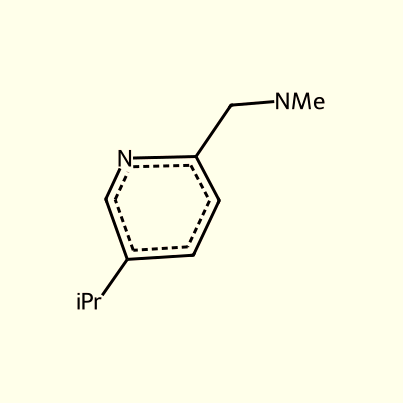 CNCc1ccc(C(C)C)cn1